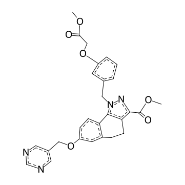 COC(=O)COc1cccc(Cn2nc(C(=O)OC)c3c2-c2ccc(OCc4cncnc4)cc2CC3)c1